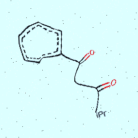 CC(C)C(=O)CC(=O)c1ccccc1